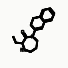 CCC1NCCCN(C2=Cc3ccccc3CC2)C1=O